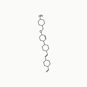 C=CC1CCC(/C=C/C2CCC(C3C=CC(OCC4CCC(CCC)CC4)CC3)CC2)CC1